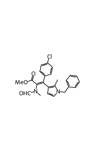 COC(=O)/C(=C(\c1ccc(Cl)cc1)c1ccn(Cc2ccccc2)c1C)N(C)C=O